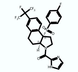 O=C(c1ncc[nH]1)N1CC[C@]2(S(=O)(=O)c3ccc(F)cc3)c3ccc(C(F)(C(F)(F)F)C(F)(F)F)cc3CC[C@H]12